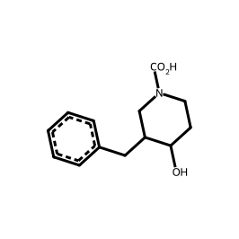 O=C(O)N1CCC(O)C(Cc2ccccc2)C1